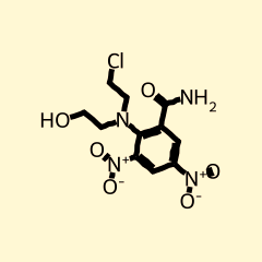 NC(=O)c1cc([N+](=O)[O-])cc([N+](=O)[O-])c1N(CCO)CCCl